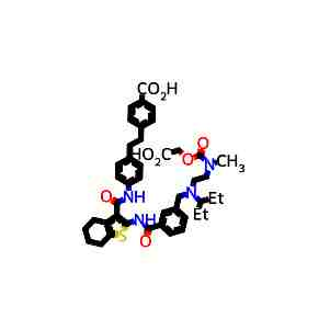 CCC(CC)N(CCN(C)C(=O)OCC(=O)O)Cc1cccc(C(=O)Nc2sc3c(c2C(=O)Nc2ccc(CCc4ccc(C(=O)O)cc4)cc2)CCCC3)c1